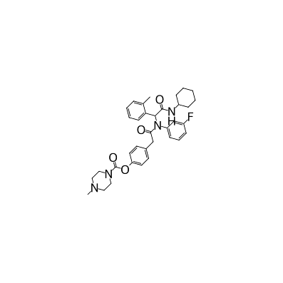 Cc1ccccc1C(C(=O)NC1CCCCC1)N(C(=O)Cc1ccc(OC(=O)N2CCN(C)CC2)cc1)c1cccc(F)c1